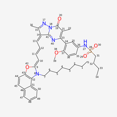 CCCCCCCCN1/C(=C/C=C/C=c2/c(C)nn3c(=O)c(C)c(-c4cc(NS(=O)(=O)CCCC)ccc4OC)nc23)Oc2ccc3ccccc3c21